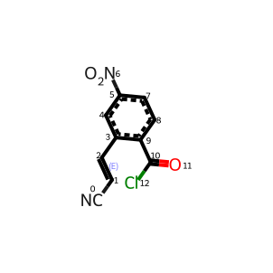 N#C/C=C/c1cc([N+](=O)[O-])ccc1C(=O)Cl